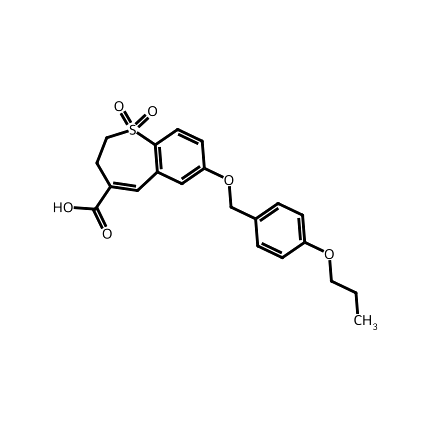 CCCOc1ccc(COc2ccc3c(c2)C=C(C(=O)O)CCS3(=O)=O)cc1